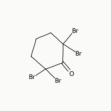 O=C1C(Br)(Br)CCCC1(Br)Br